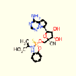 CC(NP(=S)(OC[C@@]1(C#N)O[C@@H](c2ccc3c(N)ncnn23)[C@H](O)[C@@H]1O)Oc1ccccc1)C(=O)O